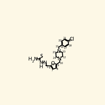 NC(=S)NN=Cc1ccc(CN2CCN(Cc3ccc(Cl)cc3)CC2)o1